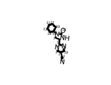 N#Cc1cnc(C2CN(c3ccccc3)C(=O)N2)nc1